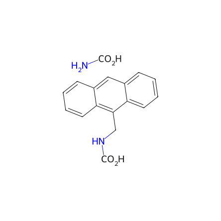 NC(=O)O.O=C(O)NCc1c2ccccc2cc2ccccc12